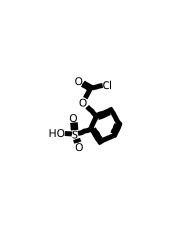 O=C(Cl)Oc1ccccc1S(=O)(=O)O